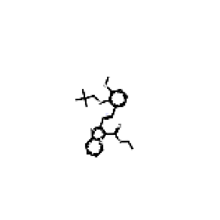 CCOC(=O)c1c(/C=C/c2cccc(OC)c2OCC(C)(C)C)nc2ccccn12